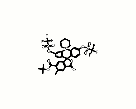 Cc1cc2c(cc1C(=O)OC(C)(C)C)C1(OC2=O)c2ccc(OS(=O)(=O)C(F)(F)F)cc2[Si]2(CCCCC2)c2cc(OS(=O)(=O)C(F)(F)F)ccc21